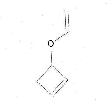 C=COC1C=CC1